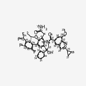 CCOc1c(CC(N)=O)cc([C@@](O)(CNC(=O)c2cc(OC)c3nn(C4CC4)cc3c2)c2ccccc2)nc1-c1cc(C(F)F)c(F)cc1F